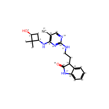 CC1(C)[C@@H](O)C[C@H]1Nc1nc(NCCC2C(=O)Nc3ccccc32)ncc1C#N